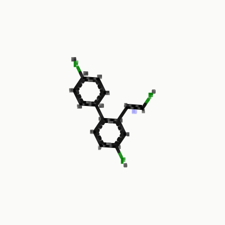 F/C=C/c1cc(F)ccc1-c1ccc(F)cc1